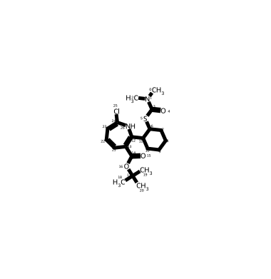 CN(C)C(=O)SC1CCCCC1C1=C(C(=O)OC(C)(C)C)C=CC=C(Cl)N1